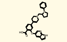 O=C(O)c1ccc(C2=CCN(CC3CCCN3c3ccccc3)CC2)cc1Oc1cnc2[nH]ccc2c1